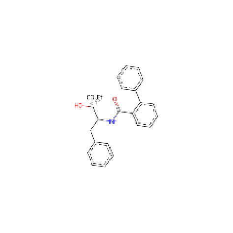 CCOC(=O)[C@@H](O)C(Cc1ccccc1)NC(=O)c1ccccc1-c1ccccc1